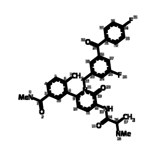 CNC(=O)c1ccc(C)c(-c2ccc(NC(=O)C(C)NC)c(=O)n2Cc2cc(F)cc(C(=O)c3ccc(F)cc3)c2)c1